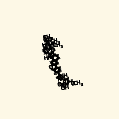 COC[C@H]1C[C@@H](c2ncc(-c3ccc4c(c3)COc3cc5c(cc3-4)CCc3nc([C@@H]4CC[C@H](C)N4C(=O)C(NC(=O)OC)C(C)C)[nH]c3-5)[nH]2)N(C(=O)O)C1